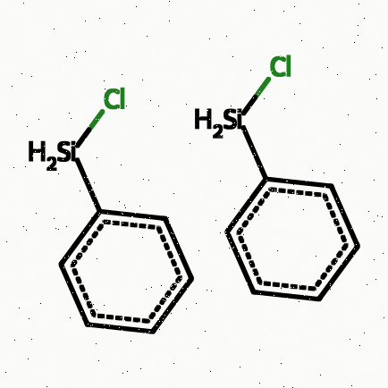 Cl[SiH2]c1ccccc1.Cl[SiH2]c1ccccc1